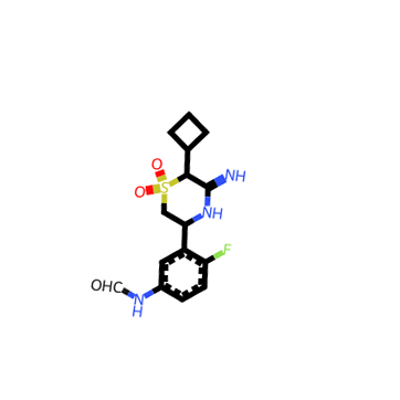 N=C1NC(c2cc(NC=O)ccc2F)CS(=O)(=O)C1C1CCC1